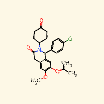 COc1cc2c(cc1OC(C)C)C(c1ccc(Cl)cc1)N(C1CCC(=O)CC1)C(=O)C2